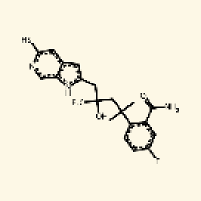 CC(C)(CC(O)(Cc1cc2cc(S)ncc2[nH]1)C(F)(F)F)c1ccc(F)cc1C(N)=O